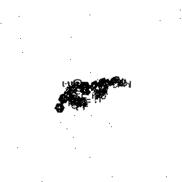 CN(CC(=O)N(Cc1ccc(C2CCC(c3ccc(S(=O)(=O)Nc4ccc(N(Cc5ccc(C6CCCCC6)cc5)C(=O)CN(C)S(=O)(=O)c5c(F)c(F)c(F)c(F)c5F)cc4)c4ccccc34)CC2)cc1)c1ccc(NS(C)(=O)=O)cc1)S(=O)(=O)c1c(F)c(F)c(F)c(F)c1F